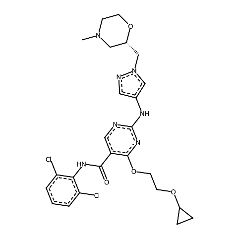 CN1CCO[C@H](Cn2cc(Nc3ncc(C(=O)Nc4c(Cl)cccc4Cl)c(OCCOC4CC4)n3)cn2)C1